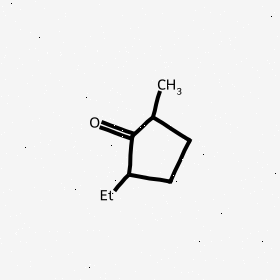 CCC1CCC(C)C1=O